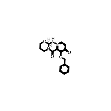 O=C1c2c(OCc3ccccc3)c(=O)ccn2N[C@@H]2OCCCN12